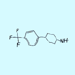 [NH]C1CCC(c2ccc(C(F)(F)F)cc2)CC1